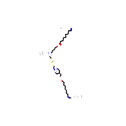 CCCCCCCC/C=C\CCCCCCCC(=O)OCCCCCN(C)CCSCSCCN1CCC(CCOC(=O)CCCCCCC/C=C\CCCCCCCC)CC1